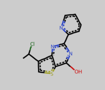 CC(Cl)c1csc2c(O)nc(-c3ccccn3)nc12